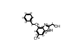 OCc1nc2c(OCc3ccccc3)cc(Cl)cc2[nH]1